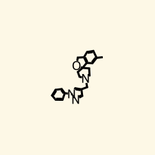 Cc1ccc2c(c1)C1(CCN(Cc3cnn(-c4ccccc4)c3)CC1)OC2